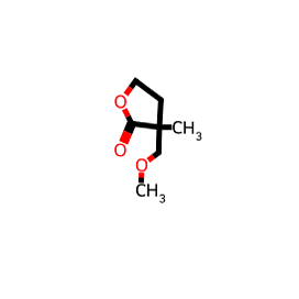 COCC1(C)CCOC1=O